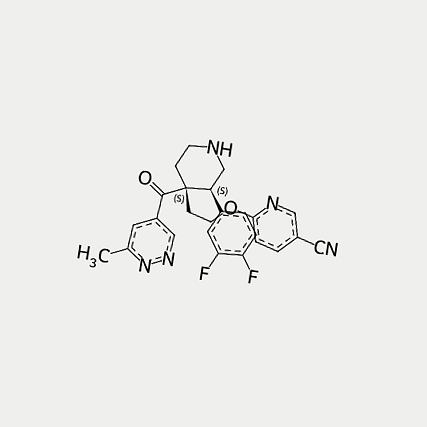 Cc1cc(C(=O)[C@]2(CCOc3ccc(C#N)cn3)CCNC[C@H]2c2ccc(F)c(F)c2)cnn1